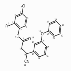 CC(C)c1cc(Cl)ccc1OC(=O)CC(C#N)c1cccc(Oc2ccccc2)c1